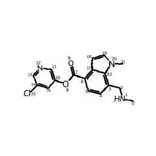 CNCc1ccc(C(=O)Oc2cncc(Cl)c2)c2ccn(C)c12